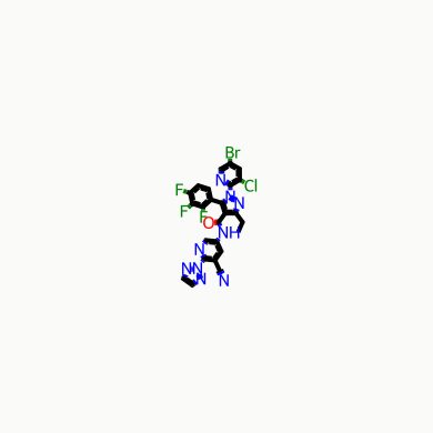 CCc1nn(-c2ncc(Br)cc2Cl)c(-c2ccc(F)c(F)c2F)c1C(=O)Nc1cnc(-n2nccn2)c(C#N)c1